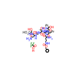 CCC(C)[C@@H](C(=O)N[C@H](C(=O)NCC(=O)N[C@@H](CC(N)=O)C(=O)N[C@@H](CO)C(=O)O)[C@H](C)O)N(C(=O)[C@H](N)CCCNC(=O)OCc1ccccc1)C(=O)[C@H](CC(C)C)NC(=O)[C@@H](N)[C@H](O)C(C)C.O=C(O)C(F)(F)F